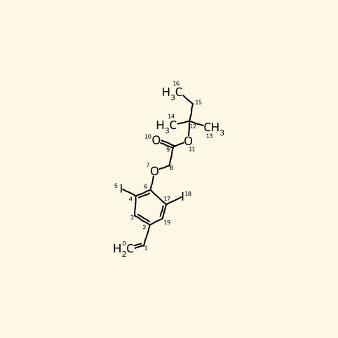 C=Cc1cc(I)c(OCC(=O)OC(C)(C)CC)c(I)c1